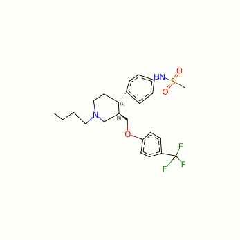 CCCCN1CC[C@H](c2ccc(NS(C)(=O)=O)cc2)[C@@H](COc2ccc(C(F)(F)F)cc2)C1